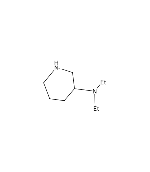 CCN(CC)C1CCCNC1